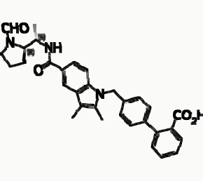 Cc1c(C)n(Cc2ccc(-c3ccccc3C(=O)O)cc2)c2ccc(C(=O)N[C@@H](C)[C@H]3CCCN3C=O)cc12